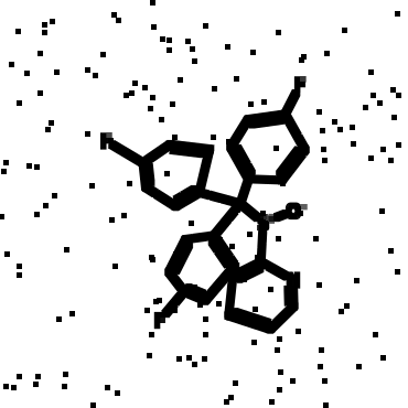 [O-][S+](c1ccccn1)C(c1ccc(F)cc1)(c1ccc(F)cc1)c1ccc(F)cc1